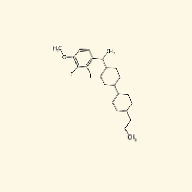 CCCC1CCC(C2CCC(C(C)c3ccc(OC)c(F)c3F)CC2)CC1